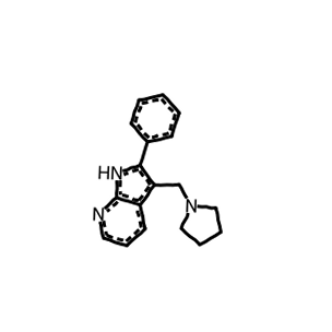 c1ccc(-c2[nH]c3ncccc3c2CN2CCCC2)cc1